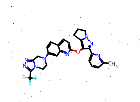 Cc1cccc(-c2nn3c(c2Oc2ccc4ccc(N5CCn6c(nnc6C(F)(F)F)C5)cc4n2)CCC3)n1